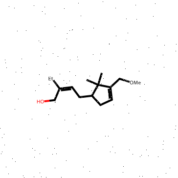 CCC(=CCC1CC=C(COC)C1(C)C)CO